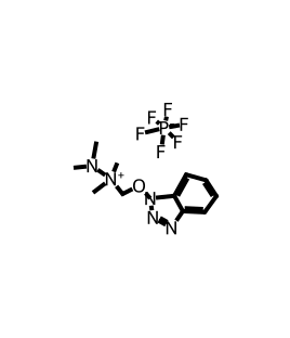 CN(C)[N+](C)(C)COn1nnc2ccccc21.F[P-](F)(F)(F)(F)F